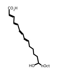 CCCCCCCCC(O)CCCCC=CC=CC=CC=CC(=O)O